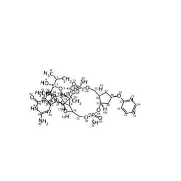 CC(C)[Si](O)(O[Si](O[C@H]1[C@H]2O[P@@](=O)(S)OC[C@H]3C[C@@H](Oc4ccncn4)C[C@@H]3O[P@](=O)(S)OC[C@H]1O[C@H]2n1cnc2c(=O)[nH]c(N)nc21)(C(C)C)C(C)C)C(C)C